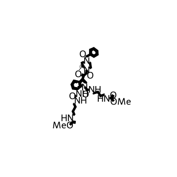 C=C(NCCCCNC(=O)Nc1cccc2c(C(=O)C(=O)N3CCN(C(=O)c4ccccc4)C[C@H]3C)cn(C(=O)NCCCCNC(=O)OC)c12)OC